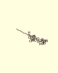 CCCCCCCCCCCCNC(=O)Nc1nc(Cl)nc2c1ncn2[C@@H]1O[C@H](COP(=O)(O)CP(=O)(O)O)C(O)[C@@H]1O